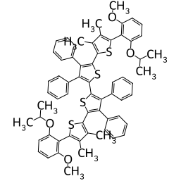 COc1cccc(OC(C)C)c1-c1sc(-c2sc(-c3sc(-c4sc(-c5c(OC)cccc5OC(C)C)c(C)c4C)c(-c4ccccc4)c3-c3ccccc3)c(-c3ccccc3)c2-c2ccccc2)c(C)c1C